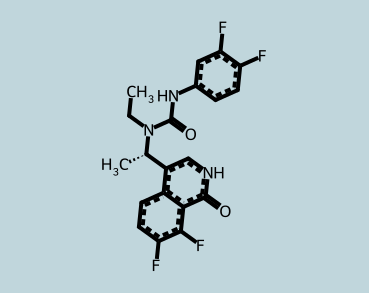 CCN(C(=O)Nc1ccc(F)c(F)c1)[C@@H](C)c1c[nH]c(=O)c2c(F)c(F)ccc12